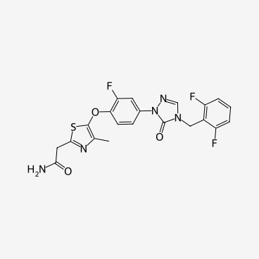 Cc1nc(CC(N)=O)sc1Oc1ccc(-n2ncn(Cc3c(F)cccc3F)c2=O)cc1F